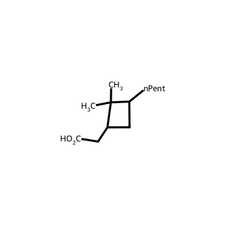 CCCCCC1CC(CC(=O)O)C1(C)C